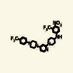 O=[N+]([O-])c1ccc(NC2CCN(c3cc(N4CCN(c5ccc(C(F)(F)F)cc5)CC4)ccn3)CC2)cc1C(F)(F)F